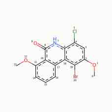 COc1cc(Cl)c2[nH]c(=O)c3c(OC)cccc3c2c1Br